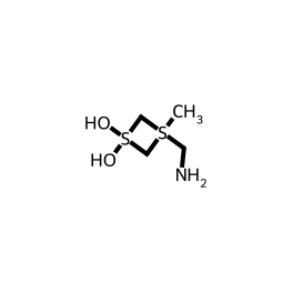 CS1(CN)CS(O)(O)C1